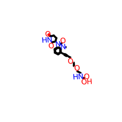 Cn1c(=O)n(C2CCC(=O)NC2=O)c2cccc(C#CCOCCOCCNC(=O)O)c21